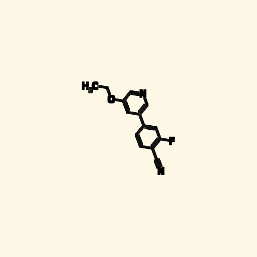 CCOc1cncc(-c2ccc(C#N)c(F)c2)c1